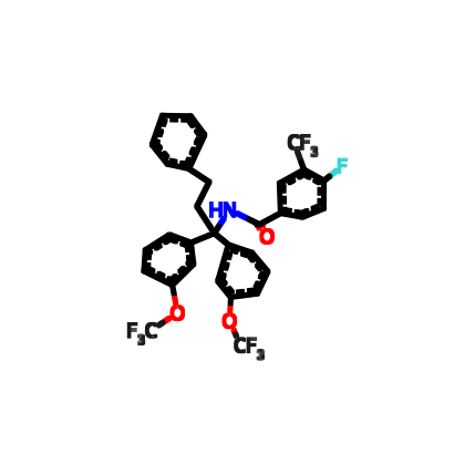 O=C(NC(CCc1ccccc1)(c1cccc(OC(F)(F)F)c1)c1cccc(OC(F)(F)F)c1)c1ccc(F)c(C(F)(F)F)c1